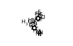 CC(Oc1ccc(-n2cnnn2)cc1)C(=O)Nc1ccc(Cl)c(C(F)(F)F)c1